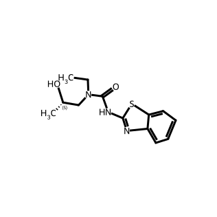 CCN(C[C@H](C)O)C(=O)Nc1nc2ccccc2s1